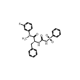 CN(C(=O)[C@H](Cc1ccccc1)NC(=O)NS(=O)(=O)c1ccccc1)c1cccc(F)c1